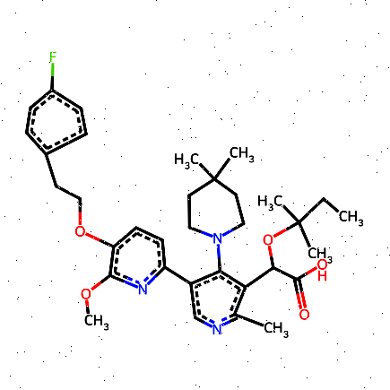 CCC(C)(C)OC(C(=O)O)c1c(C)ncc(-c2ccc(OCCc3ccc(F)cc3)c(OC)n2)c1N1CCC(C)(C)CC1